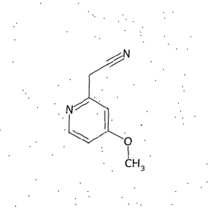 COc1ccnc(CC#N)c1